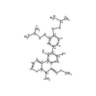 CCC=CN(C)N1CC=NC=C1c1ccc(F)c(-c2ccc(CCC(C)C)c(CCC(C)C)c2)c1F